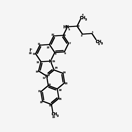 CCCC(C)Nc1ccc2c(ccc3c[n+]4c5ccc(C)cc5ccc4n32)c1.[I-]